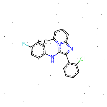 Cc1cccc2nc(-c3ccccc3Cl)c(Nc3ccc(F)cc3)n12